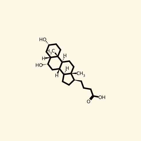 C[C@]12CC[C@@H](O)C[C@H]1[C@@H](O)C[C@@H]1[C@@H]2CC[C@]2(C)[C@@H](CCCC(=O)O)CC[C@@H]12